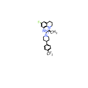 C=C(CN1CCC(c2ccc(C(F)(F)F)cc2)CC1)N1CCCc2cc(F)cc(N)c21